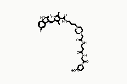 Cc1[nH]c(/C=C2\C(=O)Nc3ccc(F)cc32)c(C)c1C(=O)NCCCN1CCN(CC(=O)NCCC(=O)NCC(=O)N2CC[C@@H](O)C2)CC1